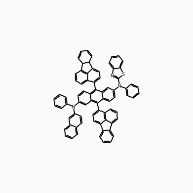 C1=CC2c3cccc4c(-c5c6ccc(N(c7ccccc7)c7ccc8ccccc8c7)cc6c(-c6ccc7c8c(cccc68)-c6ccccc6-7)c6ccc(N(c7ccccc7)c7nc8ccccc8s7)cc56)ccc(c34)C2C=C1